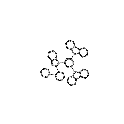 c1ccc(-c2ccccc2-c2nc3ccccc3n2-c2cc(-n3c4ccccc4c4ccccc43)cc(-n3c4ccccc4c4ccccc43)c2)cc1